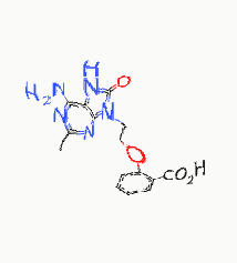 Cc1nc(N)c2[nH]c(=O)n(CCOc3ccccc3C(=O)O)c2n1